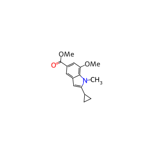 COC(=O)c1cc(OC)c2c(c1)cc(C1CC1)n2C